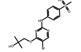 CC(C)(O)CSc1nc(Nc2ccc(S(C)(=N)=O)cc2)ncc1Br